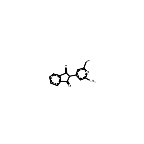 Cc1cc(C2C(=O)c3ccccc3C2=O)cc(C(C)C)n1